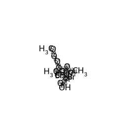 COCCOCCOCCOc1cc(C(=O)c2cccc(C)c2)c(Oc2c(Br)cc(CC(=O)O)cc2Br)cc1C(C)C